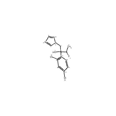 CC(F)C(O)(Cn1cncn1)c1ccc(Cl)cc1Cl